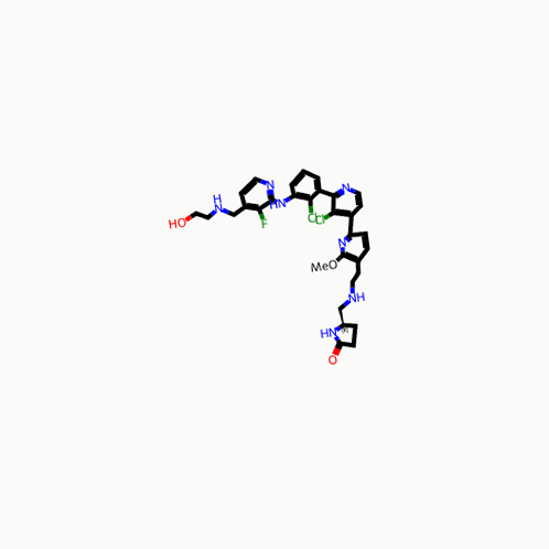 COc1nc(-c2ccnc(-c3cccc(Nc4nccc(CNCCO)c4F)c3Cl)c2Cl)ccc1CCNC[C@H]1CCC(=O)N1